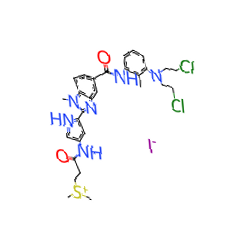 Cc1c(NC(=O)c2ccc3c(c2)nc(-c2cc(NC(=O)CC[S+](C)C)c[nH]2)n3C)cccc1N(CCCl)CCCl.[I-]